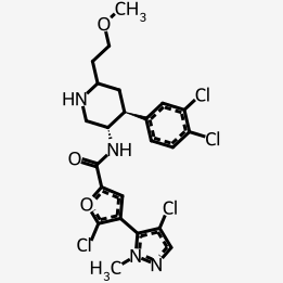 COCCC1C[C@@H](c2ccc(Cl)c(Cl)c2)[C@H](NC(=O)c2cc(-c3c(Cl)cnn3C)c(Cl)o2)CN1